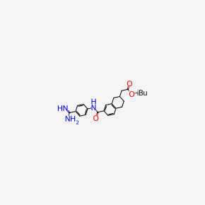 CCC(C)OC(=O)CC1CCc2ccc(C(=O)Nc3ccc(C(=N)N)cc3)cc2C1